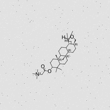 CC1(C)C(OC(=O)C[N+](C)(C)C)CC[C@@]2(C)C1CC[C@]1(C)C2CCC2C3[C@H]4OC[C@@]3(CCC4(C)C)CC[C@]21C